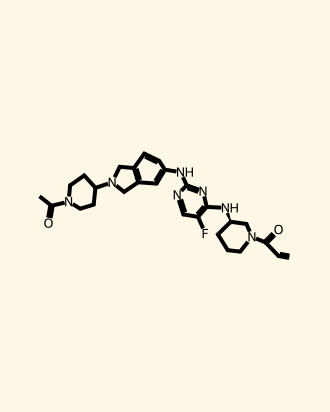 C=CC(=O)N1CCC[C@@H](Nc2nc(Nc3ccc4c(c3)CN(C3CCN(C(C)=O)CC3)C4)ncc2F)C1